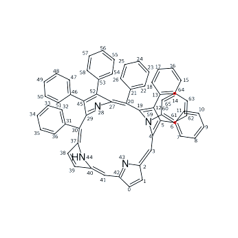 C1=Cc2cc3c(-c4ccccc4)c(-c4ccccc4)c(c(-c4ccccc4)c4nc(c(-c5ccccc5)c5ccc(cc1n2)[nH]5)C(c1ccccc1)=C4c1ccccc1)n3-c1ccccc1